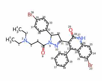 CCN(CC)CCC(=O)N1N=C(c2c(-c3ccccc3)c3cc(Br)ccc3[nH]c2=O)CC1c1ccc(Br)cc1